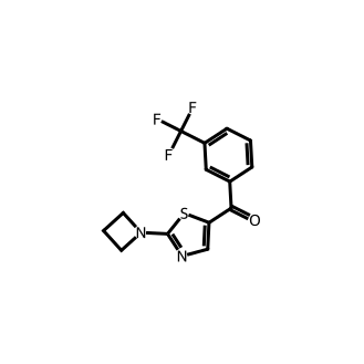 O=C(c1cccc(C(F)(F)F)c1)c1cnc(N2CCC2)s1